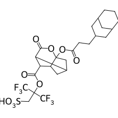 O=C(CCC1CC2CCCC(C2)C1)OC12CC3CC1C(C(=O)OC(CS(=O)(=O)O)(C(F)(F)F)C(F)(F)F)C3C(=O)O2